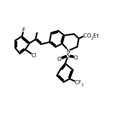 CCOC(=O)C1Cc2ccc(/C=C(\C)c3c(F)cccc3Cl)cc2N(S(=O)(=O)c2cccc(C(F)(F)F)c2)C1